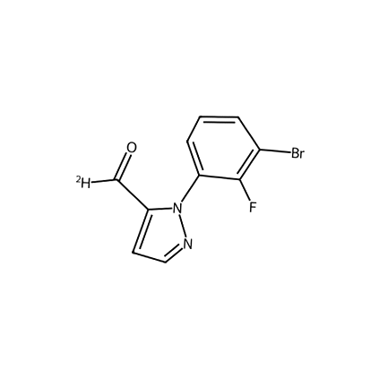 [2H]C(=O)c1ccnn1-c1cccc(Br)c1F